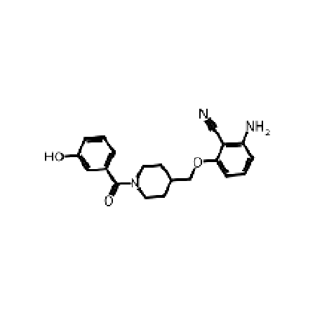 N#Cc1c(N)cccc1OCC1CCN(C(=O)c2cccc(O)c2)CC1